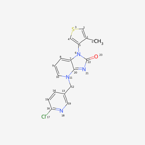 Cc1cscc1-n1c2cccn(Cc3ccc(Cl)nc3)c-2nc1=O